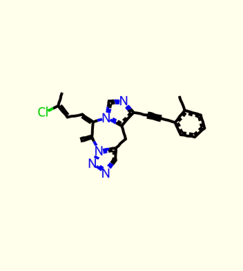 C=C1/C(=C\C=C(/C)Cl)n2cnc(C#Cc3ccccc3C)c2Cc2cnnn21